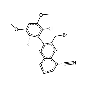 COc1cc(OC)c(Cl)c(-c2nc3cccc(C#N)c3nc2CBr)c1Cl